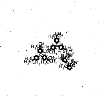 CC(C)(C)c1ccc([S+](c2ccc(C(C)(C)C)cc2)c2ccc(C(C)(C)C)cc2)cc1.CC(C)(C)c1ccc([S+](c2ccc(C(C)(C)C)cc2)c2ccc(C(C)(C)C)cc2)cc1.CC1(C)C2CCC1(CS(=O)(=O)[O-])C(=O)C2.CC1(C)C2CCC1(CS(=O)(=O)[O-])C(=O)C2